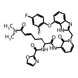 CN(C)C(=O)/C=C/CC[C@H](NC(=O)c1ncco1)C(=O)Nc1cccn(Cc2nc3cccc(Oc4ccc(F)cc4F)c3[nH]2)c1=O